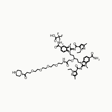 CCn1nc(C)cc1C(=O)N=c1n(C)c2cc(C(N)=O)ccc2n1CCC(CCn1c(=NC(=O)c2cc(C)nn2CC)n(C)c2cc(C(N)=O)ccc21)OCC(=O)NCCOCCOCCOCCOCCC(=O)N1CCNCC1.O=C(O)C(F)(F)F